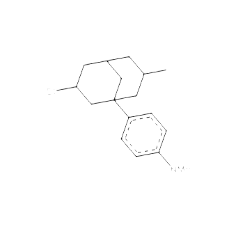 CCC1CC2CC(C)CC(c3ccc(NC)cc3)(C1)C2